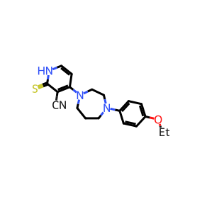 CCOc1ccc(N2CCCN(c3cc[nH]c(=S)c3C#N)CC2)cc1